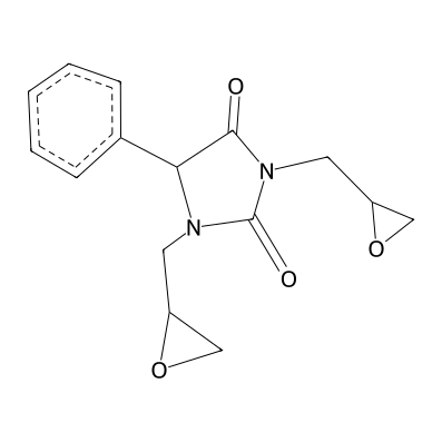 O=C1C(c2ccccc2)N(CC2CO2)C(=O)N1CC1CO1